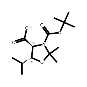 CC(C)[C@H]1OC(C)(C)N(C(=O)OC(C)(C)C)[C@@H]1C(=O)O